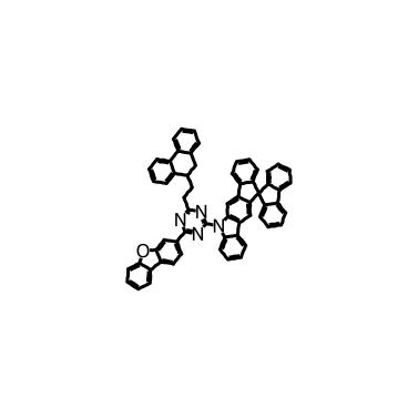 c1ccc2c(c1)CC(CCc1nc(-c3ccc4c(c3)oc3ccccc34)nc(-n3c4ccccc4c4cc5c(cc43)-c3ccccc3C53c4ccccc4-c4ccccc43)n1)c1ccccc1-2